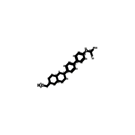 CCC1CCC2CC(c3ccc(-c4ccc(OC(F)F)cc4)cc3)CCC2C1